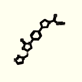 COC(=O)N1CCC(c2ccc(N3C[C@H](Cn4ccnn4)OC3=O)cc2)C1